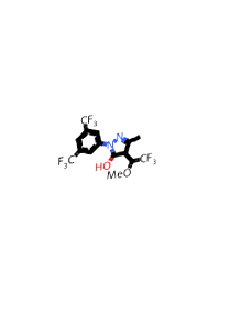 COC(C1C(C)=NN(c2cc(C(F)(F)F)cc(C(F)(F)F)c2)C1O)C(F)(F)F